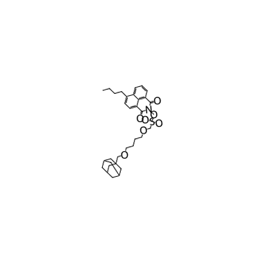 CCCCc1ccc2c3c(cccc13)C(=O)N(OS(=O)(=O)COCCCCOCC13CC4CC(CC(C4)C1)C3)C2=O